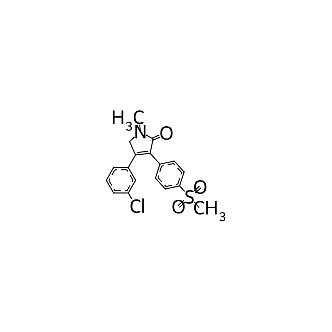 CN1CC(c2cccc(Cl)c2)=C(c2ccc(S(C)(=O)=O)cc2)C1=O